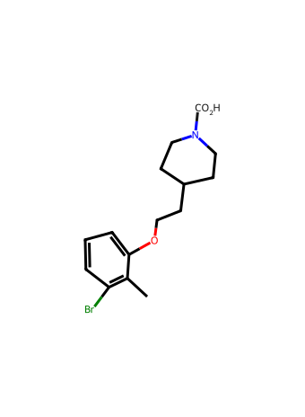 Cc1c(Br)cccc1OCCC1CCN(C(=O)O)CC1